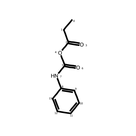 CCC(=O)OC(=O)Nc1ccccc1